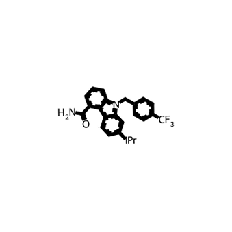 CC(C)c1c[c]c2c3c(C(N)=O)cccc3n(Cc3ccc(C(F)(F)F)cc3)c2c1